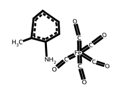 Cc1ccccc1N.O=[C]=[Fe](=[C]=O)(=[C]=O)(=[C]=O)=[C]=O